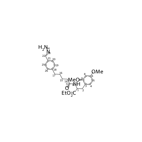 CCOC(=O)C(Cc1ccc(OC)cc1OC)NC(=O)CCCCc1ccc(C=NN)cc1